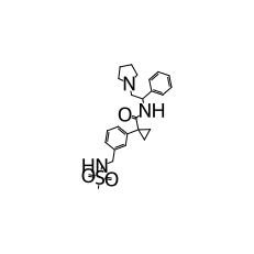 CS(=O)(=O)NCc1cccc(C2(C(=O)NC(CN3CCCC3)c3ccccc3)CC2)c1